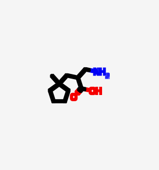 CC1(CC(CN)C(=O)O)CCCC1